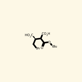 CC(C)C[C@@H](C(=O)O)C(C(=O)O)C(=O)OC(C)(C)C